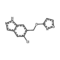 Clc1cc2cn[nH]c2cc1COc1ccon1